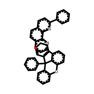 C1=CC(C2(c3ccccc3)c3ccccc3Oc3cccc(-c4ccc5ccc6ccc(-c7ccccc7)nc6c5n4)c32)=CCC1